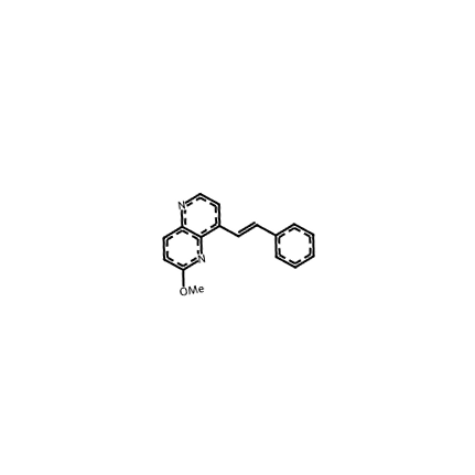 COc1ccc2nccc(C=Cc3ccccc3)c2n1